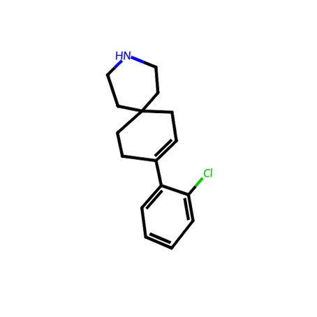 Clc1ccccc1C1=CCC2(CCNCC2)CC1